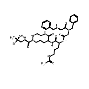 CCC(C)(C)CNC(=O)NCCCC(NC(=O)C(CCCNC(N)=O)NC(=O)CN(Cc1ccccc1)C(=O)CNCc1cccnc1)C(=O)NCCS